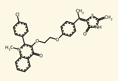 C=c1[nH]c(=O)/c(=C(/C)c2ccc(OCCOc3c(-c4ccc(Cl)cc4)n(C)c4ccccc4c3=O)cc2)s1